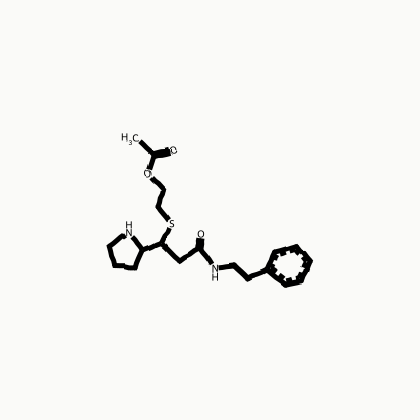 CC(=O)OCCSC(CC(=O)NCCc1ccccc1)C1CCCN1